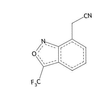 N#CCc1cccc2c(C(F)(F)F)onc12